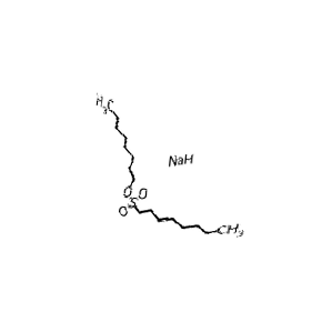 CCCCCCCCOS(=O)(=O)CCCCCCCC.[NaH]